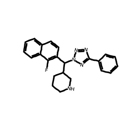 Fc1c(C(C2CCCNC2)n2nnc(-c3ccccc3)n2)ccc2ccccc12